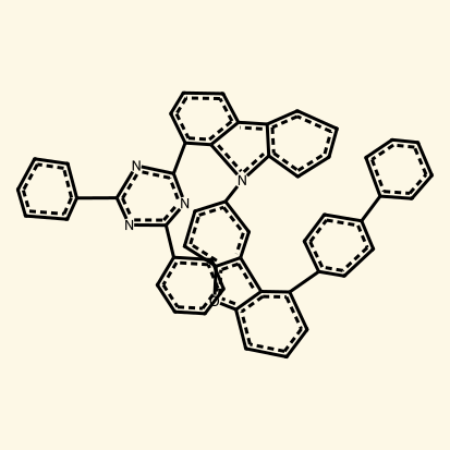 c1ccc(-c2ccc(-c3cccc4oc5ccc(-n6c7ccccc7c7cccc(-c8nc(-c9ccccc9)nc(-c9ccccc9)n8)c76)cc5c34)cc2)cc1